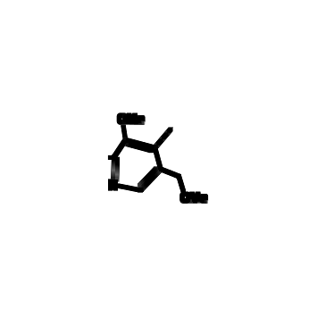 COCc1cn[c]c(OC)c1C